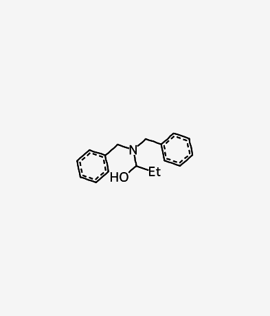 CCC(O)N(Cc1ccccc1)Cc1ccccc1